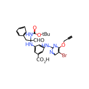 C#CCOc1nc(Nc2cc(NC(C=O)(Cc3ccccc3)NC(=O)OC(C)(C)C)cc(C(=O)O)c2)ncc1Br